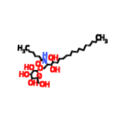 CCCCCCCCCCCCCCC(O)C(O)C(COC1OC(CO)C(O)C(O)C1O)NC(=O)CCCCC